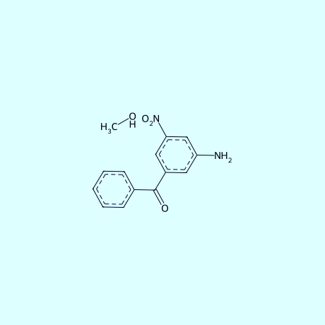 CO.Nc1cc(C(=O)c2ccccc2)cc([N+](=O)[O-])c1